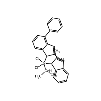 CC1=Cc2ccccc2[CH]1[Zr]([Cl])([Cl])([CH]1C(C)=Cc2c(-c3ccccc3)cccc21)[GeH]([CH3])[CH3]